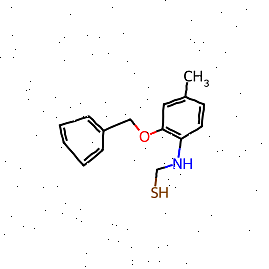 Cc1ccc(NCS)c(OCc2ccccc2)c1